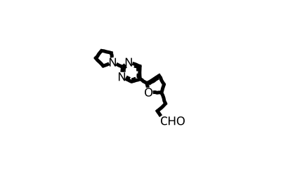 O=CCCC1CC=C(c2cnc(N3CCCC3)nc2)O1